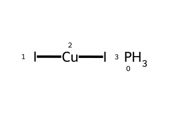 P.[I][Cu][I]